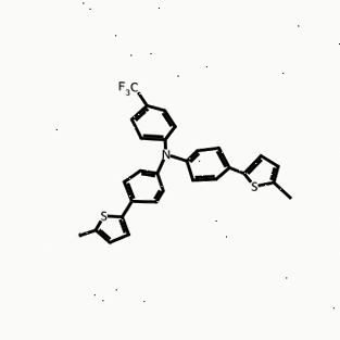 Cc1ccc(-c2ccc(N(c3ccc(-c4ccc(C)s4)cc3)c3ccc(C(F)(F)F)cc3)cc2)s1